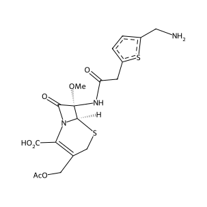 CO[C@@]1(NC(=O)Cc2ccc(CN)s2)C(=O)N2C(C(=O)O)=C(COC(C)=O)CS[C@@H]21